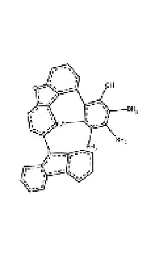 Bc1c(B)c(B)c(-c2cccc3oc4ccc(-n5c6ccccc6c6ccccc65)cc4c23)c(O)c1B